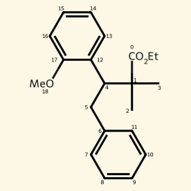 CCOC(=O)C(C)(C)C(Cc1ccccc1)c1ccccc1OC